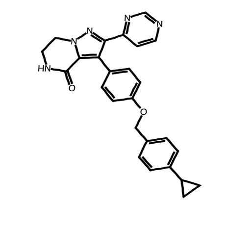 O=C1NCCn2nc(-c3ccncn3)c(-c3ccc(OCc4ccc(C5CC5)cc4)cc3)c21